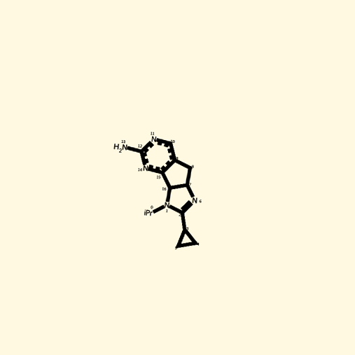 CC(C)N1C(C2CC2)=NC2Cc3cnc(N)nc3C21